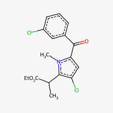 CCOC(=O)C(C)c1c(Cl)cc(C(=O)c2cccc(Cl)c2)n1C